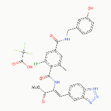 COC(=O)C(=Cc1ccc2[nH]nnc2c1)NC(=O)c1c(C)cc(C(=O)NCc2cccc(O)c2)cc1Cl.O=C(O)C(F)(F)F